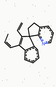 C=CC1=C(/C=C\C)c2ccccc2C12CCc1cccnc12